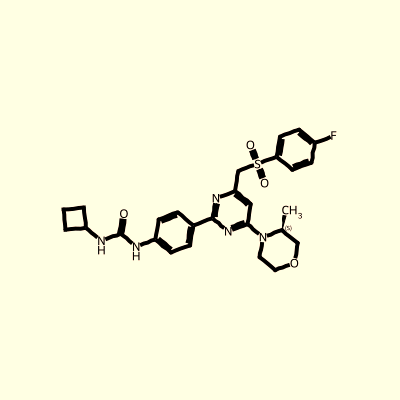 C[C@H]1COCCN1c1cc(CS(=O)(=O)c2ccc(F)cc2)nc(-c2ccc(NC(=O)NC3CCC3)cc2)n1